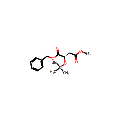 CC(C)(C)OC(=O)C[C@H](O[Si](C)(C)C(C)(C)C)C(=O)OCc1ccccc1